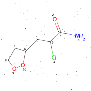 NC(=O)C(Cl)CC1CCOO1